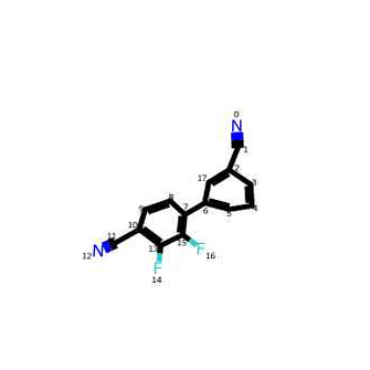 N#Cc1cccc(-c2ccc(C#N)c(F)c2F)c1